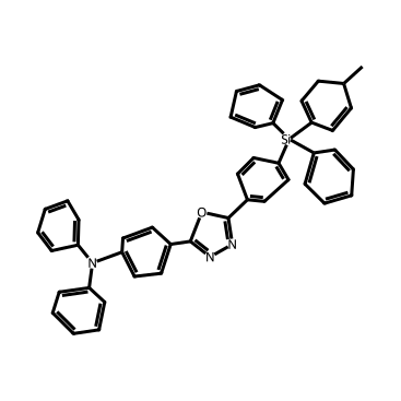 CC1C=CC([Si](c2ccccc2)(c2ccccc2)c2ccc(-c3nnc(-c4ccc(N(c5ccccc5)c5ccccc5)cc4)o3)cc2)=CC1